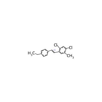 CCc1ccc(/C=C/c2cc(C)c(Cl)cc2Cl)cc1